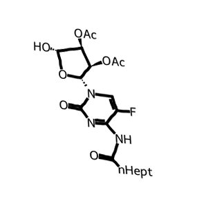 CCCCCCCC(=O)Nc1nc(=O)n([C@@H]2O[C@H](O)[C@@H](OC(C)=O)[C@H]2OC(C)=O)cc1F